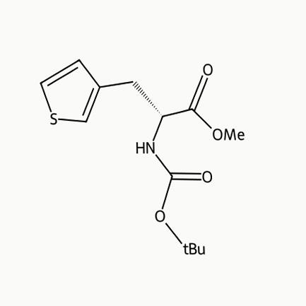 COC(=O)[C@@H](Cc1ccsc1)NC(=O)OC(C)(C)C